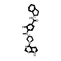 CN(c1ccc(C(=O)N[C@H]2CCc3ccccc32)cc1F)[C@@H]1CCN(c2ncnc3[nH]ccc23)C1